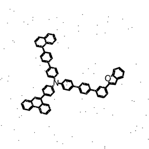 c1cc(-c2ccc(-c3ccc(N(c4ccc(-c5ccc(-c6cccc7ccccc67)cc5)cc4)c4ccc(-c5cc6ccccc6c6ccccc56)cc4)cc3)cc2)cc(-c2cc3ccccc3o2)c1